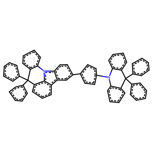 c1ccc(C2(c3ccccc3)c3ccccc3N(c3ccc(-c4ccc5c(c4)c4cccc6c4n5-c4ccccc4C6(c4ccccc4)c4ccccc4)cc3)c3ccccc32)cc1